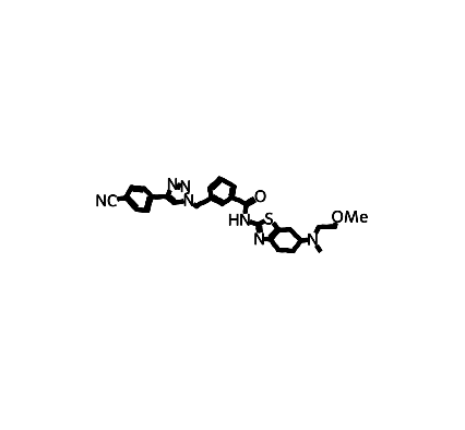 COCCN(C)C1CCc2nc(NC(=O)c3cccc(Cn4cc(-c5ccc(C#N)cc5)nn4)c3)sc2C1